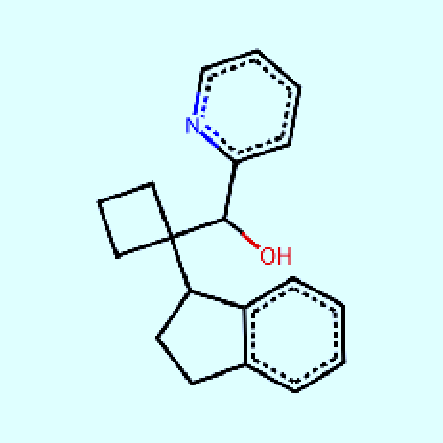 OC(c1ccccn1)C1(C2CCc3ccccc32)CCC1